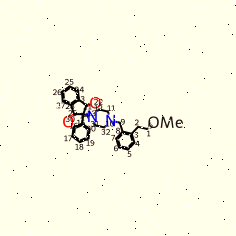 COCCc1ccccc1CN1CCN(C2(c3ccccc3)C(=O)c3ccccc3C2=O)CC1